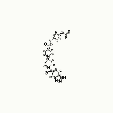 O=C(OCc1ccc(OC(F)F)cc1)N1CCN(C2CCN(C(=O)c3ccc4[nH]nnc4c3)CC2)CC1